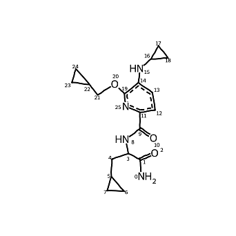 NC(=O)C(CC1CC1)NC(=O)c1ccc(NC2CC2)c(OCC2CC2)n1